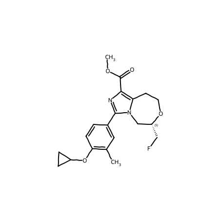 COC(=O)c1nc(-c2ccc(OC3CC3)c(C)c2)n2c1CCO[C@H](CF)C2